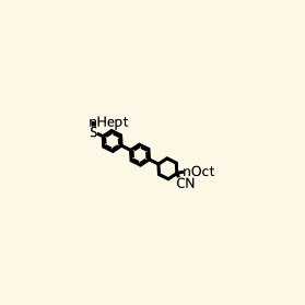 CCCCCCCCC1(C#N)CCC(c2ccc(-c3ccc(SCCCCCCC)cc3)cc2)CC1